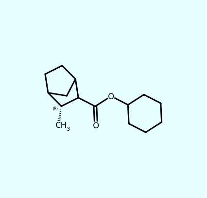 C[C@@H]1C2CCC(C2)C1C(=O)OC1CCCCC1